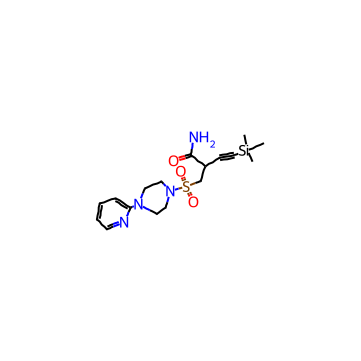 C[Si](C)(C)C#CC(CS(=O)(=O)N1CCN(c2ccccn2)CC1)C(N)=O